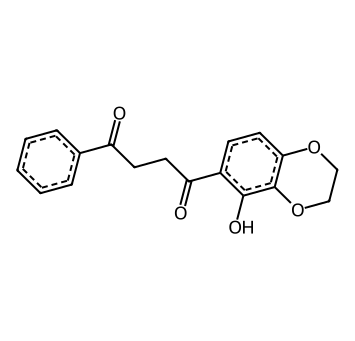 O=C(CCC(=O)c1ccc2c(c1O)OCCO2)c1ccccc1